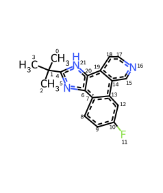 CC(C)(C)c1nc2c3ccc(F)cc3c3cnccc3c2[nH]1